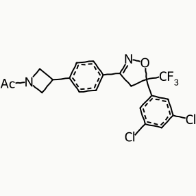 CC(=O)N1CC(c2ccc(C3=NOC(c4cc(Cl)cc(Cl)c4)(C(F)(F)F)C3)cc2)C1